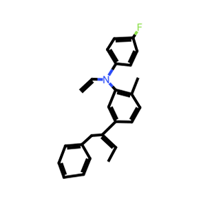 C=CN(c1ccc(F)cc1)c1cc(/C(=C/C)Cc2ccccc2)ccc1C